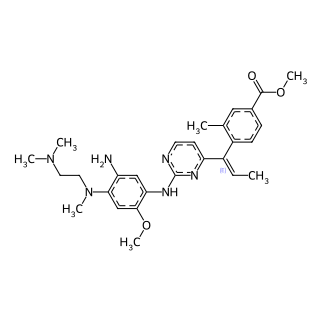 C/C=C(/c1ccnc(Nc2cc(N)c(N(C)CCN(C)C)cc2OC)n1)c1ccc(C(=O)OC)cc1C